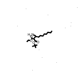 CCCCCCCCC(CN)C(C(=O)OCC)C(=O)OC(C)(C)C